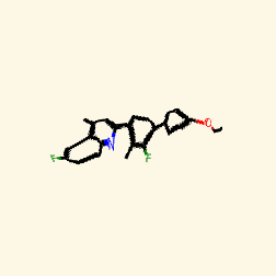 CCOc1ccc(-c2ccc(-c3cc(C)c4cc(F)ccc4n3)c(C)c2F)cc1